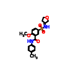 COc1ccc(S(=O)(=O)N[C@H]2CCOC2)cc1C(=O)Nc1ccc(C)cc1